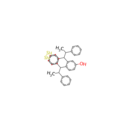 CC(c1ccccc1)C(c1ccccc1)c1ccc(O)cc1C(c1ccccc1)C(C)c1ccccc1.SS